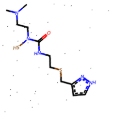 CN(C)CCN(S)C(=O)NCCSCc1cc[nH]n1